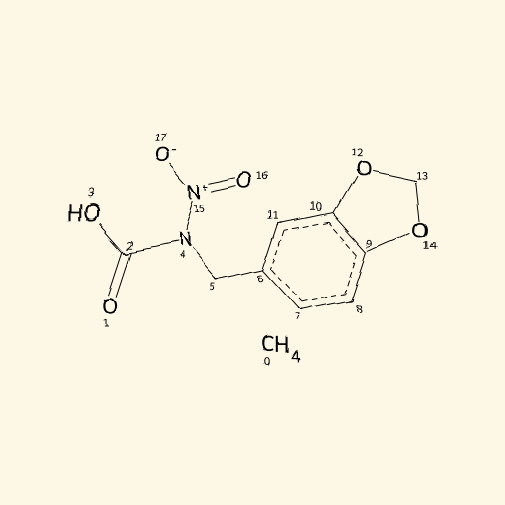 C.O=C(O)N(Cc1ccc2c(c1)OCO2)[N+](=O)[O-]